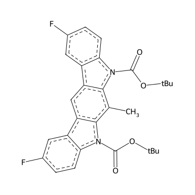 Cc1c2c(cc3c4cc(F)ccc4n(C(=O)OC(C)(C)C)c13)c1cc(F)ccc1n2C(=O)OC(C)(C)C